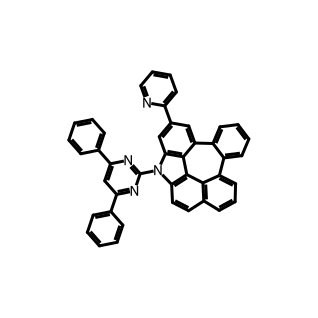 c1ccc(-c2cc(-c3ccccc3)nc(-n3c4cc(-c5ccccn5)cc5c4c4c6c(cccc6ccc43)-c3ccccc3-5)n2)cc1